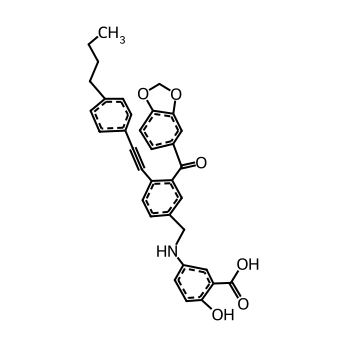 CCCCc1ccc(C#Cc2ccc(CNc3ccc(O)c(C(=O)O)c3)cc2C(=O)c2ccc3c(c2)OCO3)cc1